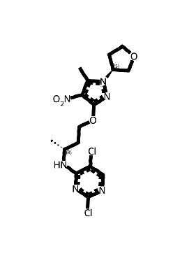 Cc1c([N+](=O)[O-])c(OCC[C@@H](C)Nc2nc(Cl)ncc2Cl)nn1[C@H]1CCOC1